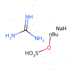 CCCCOS(=O)(=O)O.N=C(N)N.[NaH]